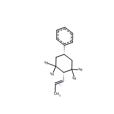 [2H]C1([2H])C[C@H](c2ccccc2)CC([2H])([2H])[C@@H]1/C=C/C